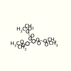 C=C(C)C(=O)OCCC(=O)Oc1ccc(-c2ccc(OC(=O)C(=C)C)cc2)c(OC(=O)CCOC(=O)C(=C)C)c1